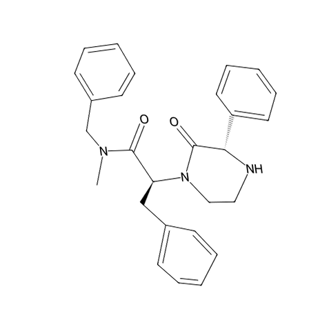 CN(Cc1ccccc1)C(=O)[C@H](Cc1ccccc1)N1CCN[C@@H](c2ccccc2)C1=O